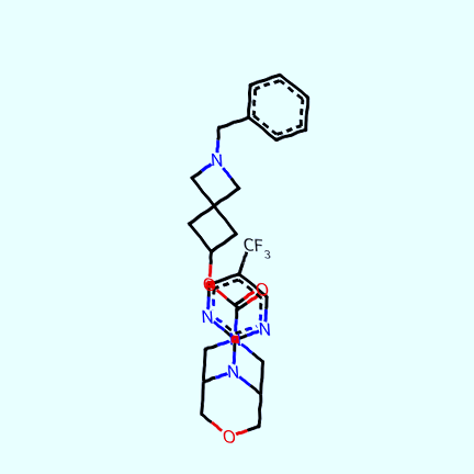 O=C(OC1CC2(C1)CN(Cc1ccccc1)C2)N1CC2COCC(C1)N2c1ncc(C(F)(F)F)cn1